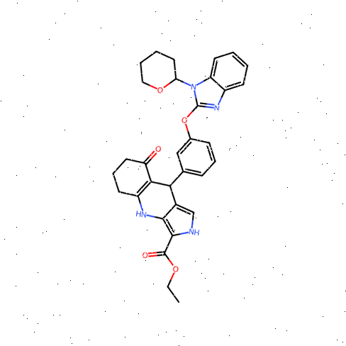 CCOC(=O)c1[nH]cc2c1NC1=C(C(=O)CCC1)C2c1cccc(Oc2nc3ccccc3n2C2CCCCO2)c1